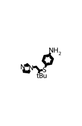 CC(C)(C)C(Cn1ccnc1)Sc1ccc(N)cc1